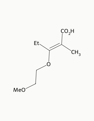 CC/C(OCCOC)=C(/C)C(=O)O